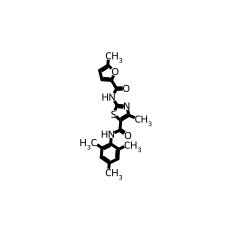 Cc1cc(C)c(NC(=O)c2sc(NC(=O)c3ccc(C)o3)nc2C)c(C)c1